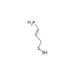 P/C=C/CSS